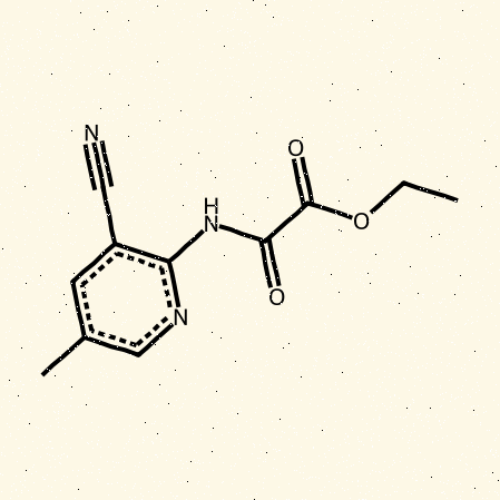 CCOC(=O)C(=O)Nc1ncc(C)cc1C#N